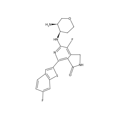 N[C@H]1COCC[C@H]1Nc1nc(-c2cc3ccc(F)cc3s2)c2c(c1F)CNC2=O